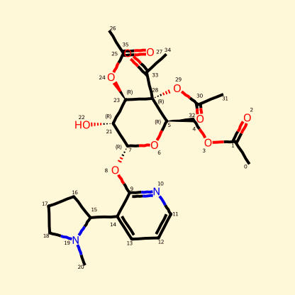 CC(=O)OC[C@H]1O[C@H](Oc2ncccc2C2CCCN2C)[C@H](O)[C@@H](OC(C)=O)[C@@]1(OC(C)=O)C(C)=O